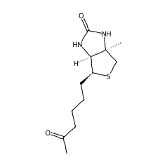 CC(=O)CCCC[C@@H]1SC[C@]2(C)NC(=O)N[C@H]12